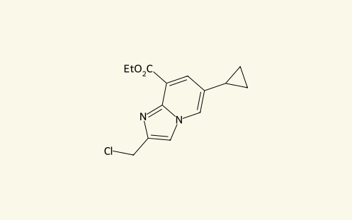 CCOC(=O)c1cc(C2CC2)cn2cc(CCl)nc12